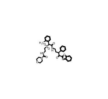 Cc1ccccc1C(C(=O)NCCC(C(=O)c1nc2ccccc2o1)c1ccccc1)S(=O)(=O)CCNC(=O)N1CCOCC1